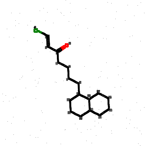 O=C(C=CCl)CCCCC1CCCC2CCCCC12